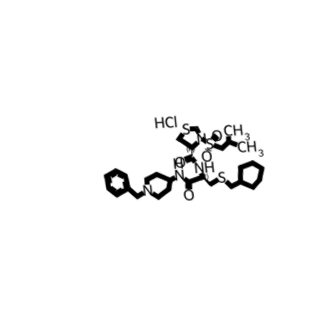 CC(C)CS(=O)(=O)N1CSC[C@H]1C(=O)N[C@@H](CSCC1CCCCC1)C(=O)NC1CCN(Cc2ccccc2)CC1.Cl